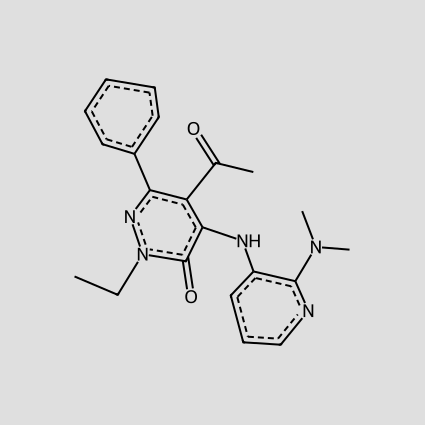 CCn1nc(-c2ccccc2)c(C(C)=O)c(Nc2cccnc2N(C)C)c1=O